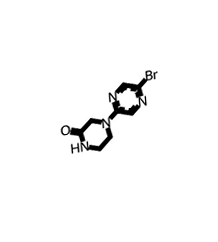 O=C1CN(c2cnc(Br)cn2)CCN1